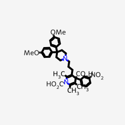 COc1ccc(C2(c3ccc(OC)cc3)CCN(CCCC3=C(C)N(C(=O)O)C(C)=C(C)C3(C(=O)O)c3cccc([N+](=O)[O-])c3)CC2)cc1